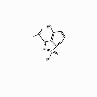 CC(=O)Nc1c(O)[c]ccc1S(=O)(=O)O